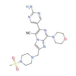 CS(=O)(=O)N1CCN(Cc2cn3c(C#N)c(-c4cnc(N)nc4)nc(N4CCOCC4)c3n2)CC1